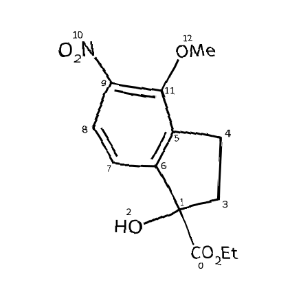 CCOC(=O)C1(O)CCc2c1ccc([N+](=O)[O-])c2OC